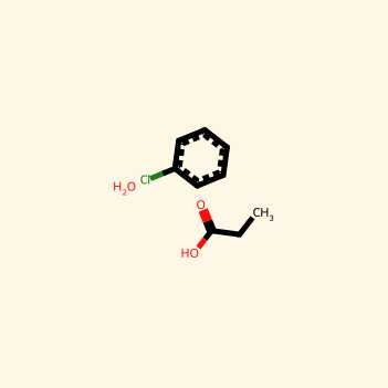 CCC(=O)O.Clc1ccccc1.O